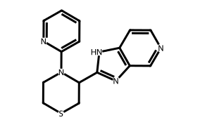 c1ccc(N2CCSCC2c2nc3cnccc3[nH]2)nc1